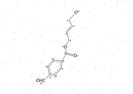 [O]CC=CCOC(=O)c1ccc([C]=O)cc1